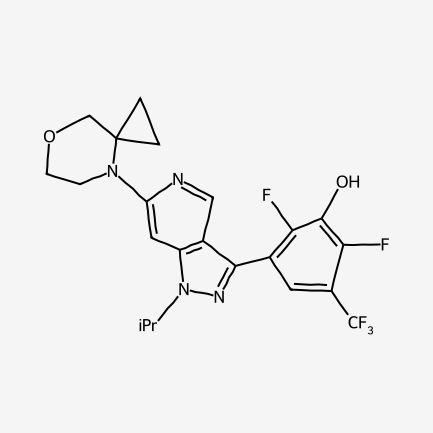 CC(C)n1nc(-c2cc(C(F)(F)F)c(F)c(O)c2F)c2cnc(N3CCOCC34CC4)cc21